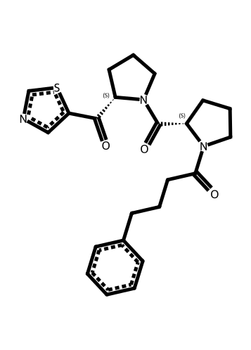 O=C(c1cncs1)[C@@H]1CCCN1C(=O)[C@@H]1CCCN1C(=O)CCCc1ccccc1